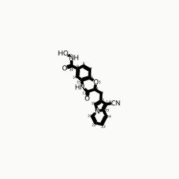 N#Cc1c(CC2Oc3ccc(C(=O)NO)cc3NC2=O)cn2ccccc12